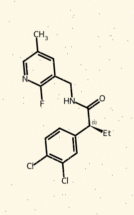 CC[C@H](C(=O)NCc1cc(C)cnc1F)c1ccc(Cl)c(Cl)c1